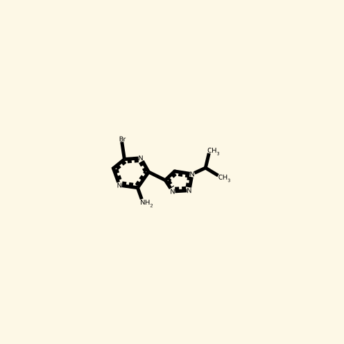 CC(C)n1cc(-c2nc(Br)cnc2N)nn1